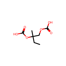 CCC(C)(COC(=O)O)OC(=O)O